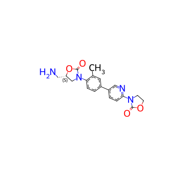 Cc1cc(-c2ccc(N3CCOC3=O)nc2)ccc1N1C[C@H](CN)OC1=O